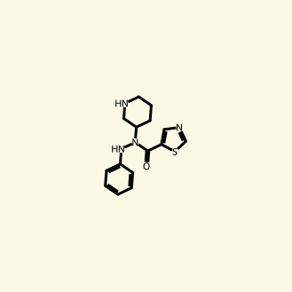 O=C(c1cncs1)N(Nc1ccccc1)C1CCCNC1